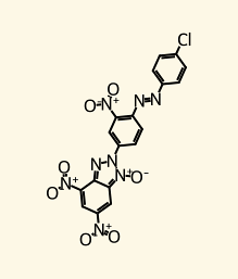 O=[N+]([O-])c1cc([N+](=O)[O-])c2nn(-c3ccc(/N=N/c4ccc(Cl)cc4)c([N+](=O)[O-])c3)[n+]([O-])c2c1